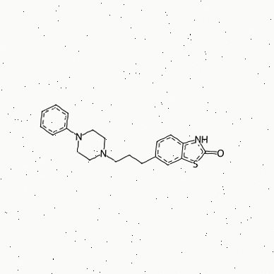 O=c1[nH]c2ccc(CCCN3CCN(c4ccccc4)CC3)cc2s1